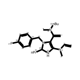 C=CN(C)C1=C(C(=C)N(C)CCCC)N(Cc2ccc(F)cc2)C(CCC)N1